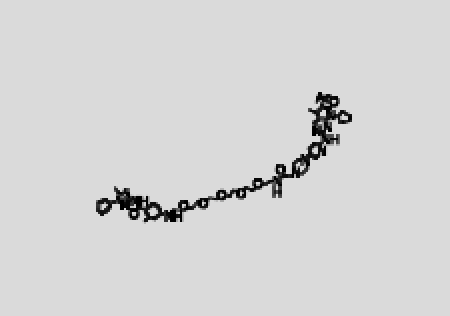 CC(=O)c1c(C)c2cnc(Nc3ccc(N4CCN(CC(=O)NCCOCCOCCOCCOCCOCCNc5ccc(C(=O)Nc6nc(-c7ccccc7)c(C)s6)c(C)c5)CC4)cn3)nc2n(C2CCCC2)c1=O